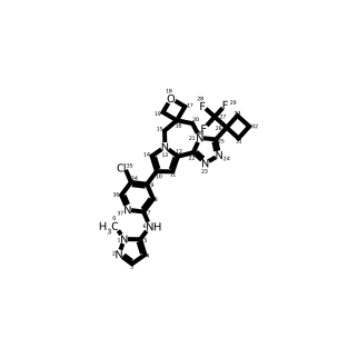 Cn1nccc1Nc1cc(-c2cc3n(c2)CC2(COC2)Cn2c-3nnc2C2(C(F)(F)F)CCC2)c(Cl)cn1